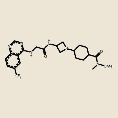 CON(C)C(=O)C1CCC(N2CC(NC(=O)CNc3ncnc4ccc(C(F)(F)F)cc34)C2)CC1